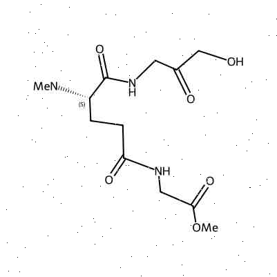 CN[C@@H](CCC(=O)NCC(=O)OC)C(=O)NCC(=O)CO